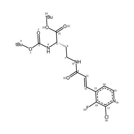 CC(C)(C)OC(=O)N[C@@H](CCNC(=O)/C=C/c1ccnc(Cl)c1F)C(=O)OC(C)(C)C